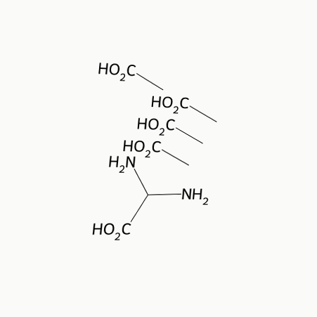 CC(=O)O.CC(=O)O.CC(=O)O.CC(=O)O.NC(N)C(=O)O